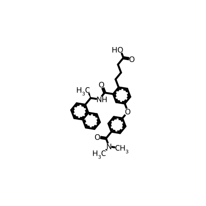 C[C@@H](NC(=O)c1cc(Oc2ccc(C(=O)N(C)C)cc2)ccc1CCCC(=O)O)c1cccc2ccccc12